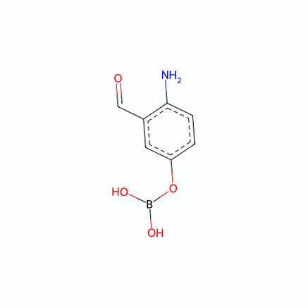 Nc1ccc(OB(O)O)cc1C=O